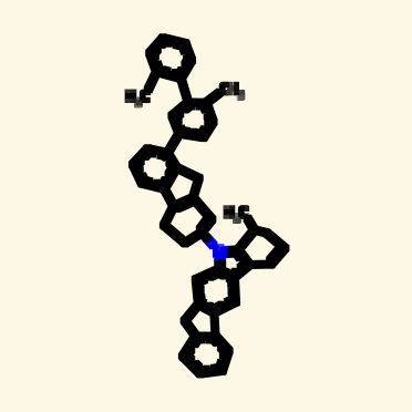 Cc1ccccc1-c1cc(-c2cccc3c2CC2=C3CCC(n3c4c(c5cc6c(cc53)Cc3ccccc3-6)C=CCC4C)=C2)ccc1C